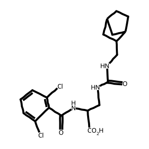 O=C(NCC(NC(=O)c1c(Cl)cccc1Cl)C(=O)O)NCC1CC2CCC1C2